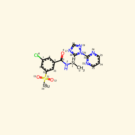 C[SiH](NC(=O)c1cc(Cl)cc(S(=O)(=O)C(C)(C)C)c1)c1ncnn1-c1ncccn1